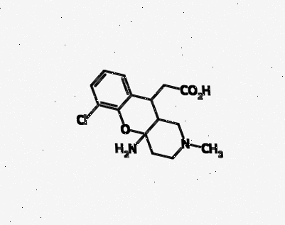 CN1CCC2(N)Oc3c(Cl)cccc3C(CC(=O)O)C2C1